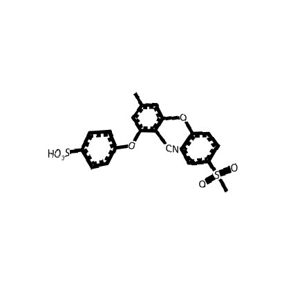 Cc1cc(Oc2ccc(S(C)(=O)=O)cc2)c(C#N)c(Oc2ccc(S(=O)(=O)O)cc2)c1